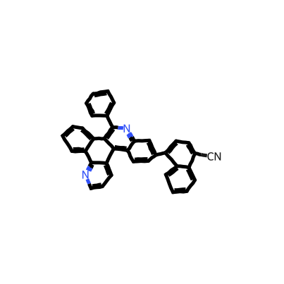 N#Cc1ccc(-c2ccc3c(c2)nc(-c2ccccc2)c2c4ccccc4c4ncccc4c32)c2ccccc12